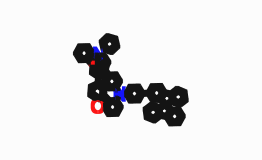 c1ccc(-c2ccc(N(c3ccc(-c4ccc5c(c4)C4(c6ccccc6-c6ccccc64)c4ccccc4-5)cc3)c3cccc4oc5ccc(-c6ccc7c(c6)c6ccccc6n7-c6ccccc6)cc5c34)cc2)cc1